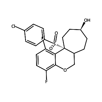 O=S(=O)(c1ccc(Cl)cc1)[C@]12CC[C@@H](O)CCC1COc1c(F)ccc(F)c12